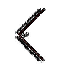 CCOC(C)=O.CCOC(C)=O.CCOC(C)=O.CCOC(C)=O.CCOC(C)=O.O.O.O.O.O.O.O.O.O.O.O.O.O.O.O.O.O.O.O.O.O.O.O.O.O.O.O.O.O.O.O.O.O.O.O.O.O.O.O.O.O.O.O.O.O.O.O.O.O.O.O.O.O.O.O.O.O.O.O.O.O.O.O.O.O.O.O.O.O.O.O.O.O.O.O.O.O.O.O.O.O.O.O.O.O.O.O.O.O.O.O.O.O.O.O